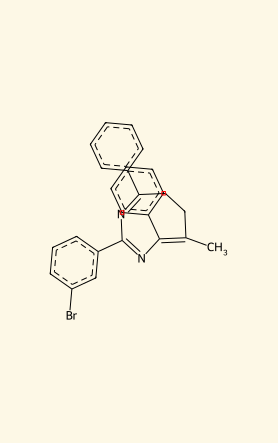 C\C1=C(c2ccccc2)/N=C(c2cccc(Br)c2)\N=C(\c2ccccc2)CC1